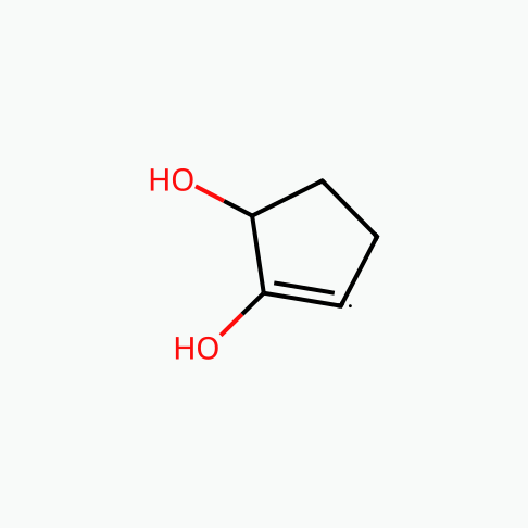 OC1=[C]CCC1O